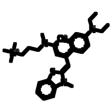 CCN(CC)c1ccc2c(/C=C3\Sc4ccccc4N3C)cc(N(C)CCC[N+](C)(C)C)[o+]c2c1